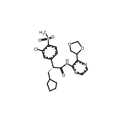 CS(=O)(=O)c1ccc([C@@H](CC2CCCC2)C(=O)Nc2nccnc2C2COCO2)cc1Cl